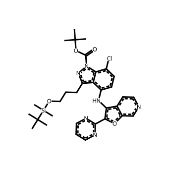 CC(C)(C)OC(=O)n1nc(CCCO[Si](C)(C)C(C)(C)C)c2c(Nc3c(-c4ncccn4)oc4cnccc34)ccc(Cl)c21